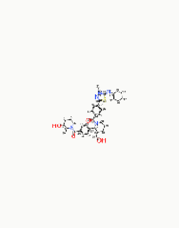 CC1C(O)CCCN1C(=O)c1ccc(C2C(CO)CCCN2C(=O)c2ccc(-c3nn(C)c(=NC4CCCCC4)s3)cc2)cc1